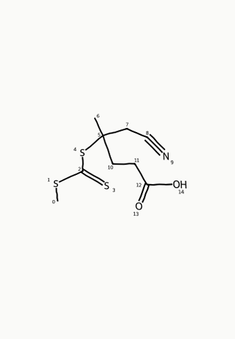 CSC(=S)SC(C)(CC#N)CCC(=O)O